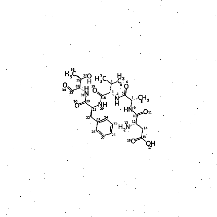 CC(C)[C@H](NC(=O)[C@H](C)NC(=O)[C@@H](N)CC(=O)O)C(=O)N[C@@H](Cc1ccccc1)C(=O)N[C@H]([C]=O)[C@@H](C)O